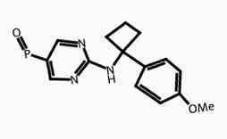 COc1ccc(C2(Nc3ncc(P=O)cn3)CCC2)cc1